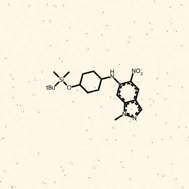 Cn1ncc2cc([N+](=O)[O-])c(NC3CCC(O[Si](C)(C)C(C)(C)C)CC3)cc21